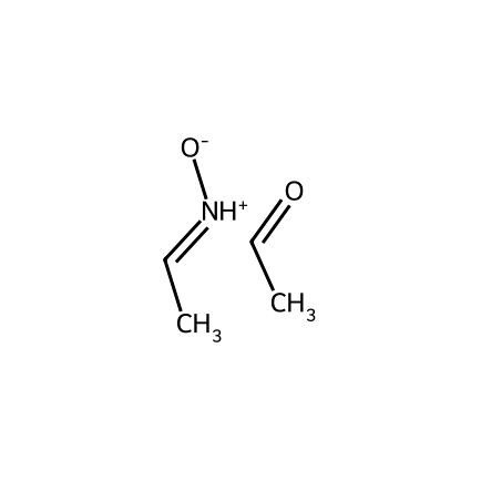 CC=O.CC=[NH+][O-]